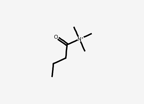 CCCC(=O)[N+](C)(C)C